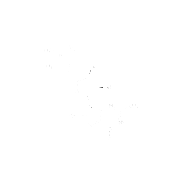 C=P(C)(C)CC[C@H]1OC(n2c(S)nc3c(=O)[nH]c(C)nc32)[C@H](O)[C@@H]1O